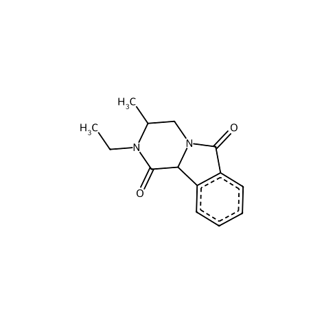 CCN1C(=O)C2c3ccccc3C(=O)N2CC1C